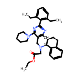 CCOC(=O)CN(Cc1c(C)nc(-c2c(CC)cccc2CC)nc1N1CCCCC1)[C@H]1CCCc2ccccc21